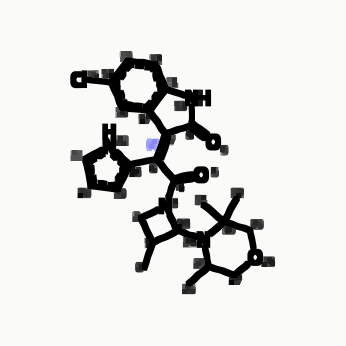 CC1CN(C(=O)/C(=C2\C(=O)Nc3ccc(Cl)cc32)c2ccc[nH]2)C1N1C(C)COCC1(C)C